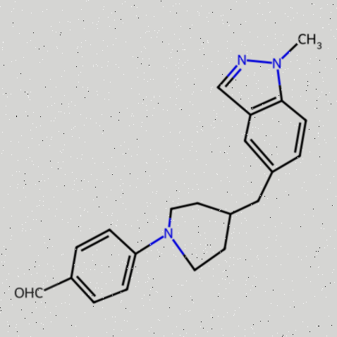 Cn1ncc2cc(CC3CCN(c4ccc(C=O)cc4)CC3)ccc21